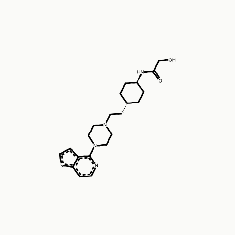 O=C(CO)N[C@H]1CC[C@H](CCN2CCN(c3nccc4sccc34)CC2)CC1